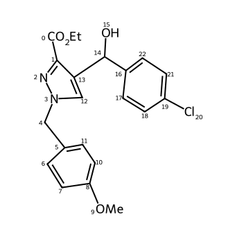 CCOC(=O)c1nn(Cc2ccc(OC)cc2)cc1C(O)c1ccc(Cl)cc1